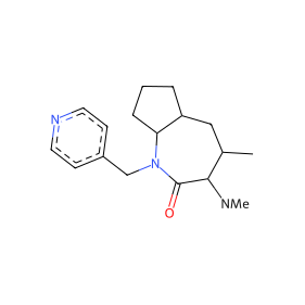 CNC1C(=O)N(Cc2ccncc2)C2CCCC2CC1C